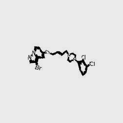 Clc1cccc(N2CCN(CCCCOc3ccn4ncc(Br)c4c3)CC2)c1Cl